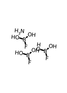 N.OB(O)F.OB(O)F.OB(O)F